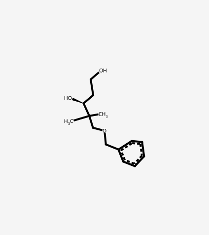 CC(C)(COCc1ccccc1)[C@@H](O)CCO